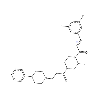 CC1CN(C(=O)CCN2CCC(c3ccccc3)CC2)CCN1C(=O)/C=C/c1cc(F)cc(F)c1